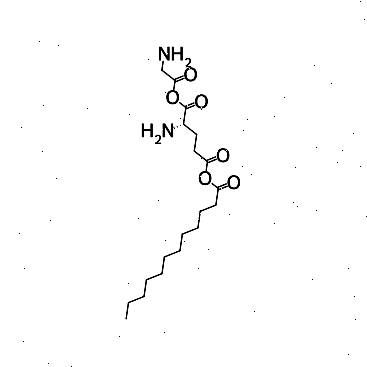 CCCCCCCCCCCC(=O)OC(=O)CC[C@H](N)C(=O)OC(=O)CN